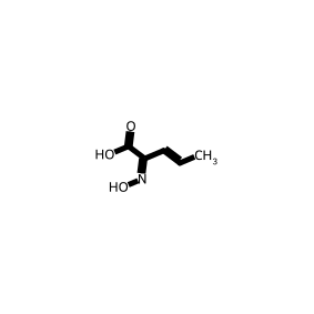 CC=CC(=NO)C(=O)O